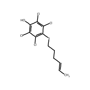 CC=CCCCSc1c(Cl)c(Cl)c(O)c(Cl)c1Cl